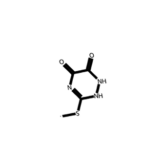 [CH2]Sc1nc(=O)c(=O)[nH][nH]1